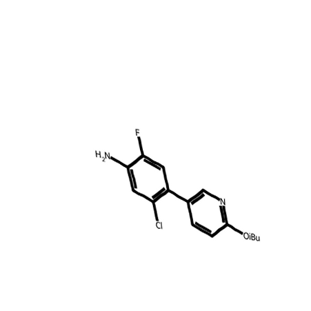 CC(C)COc1ccc(-c2cc(F)c(N)cc2Cl)cn1